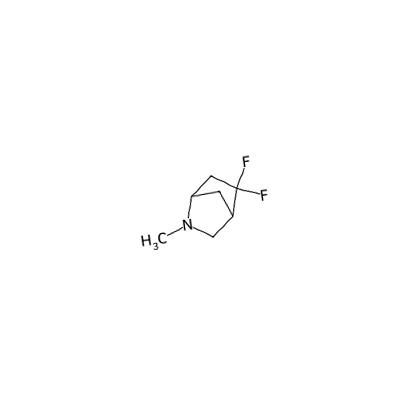 CN1CC2CC1CC2(F)F